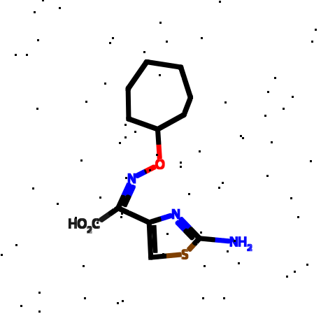 Nc1nc(C(=NOC2CCCCCC2)C(=O)O)cs1